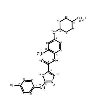 O=C(Nc1ccc(OC2CCC(C(=O)O)CC2)cc1[N+](=O)[O-])c1nnc(Nc2ccc(F)cc2)o1